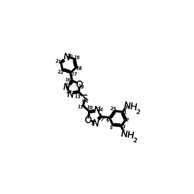 Nc1cc(N)cc(-c2noc(CSc3nnc(-c4ccncc4)o3)n2)c1